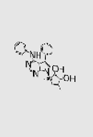 CC1C[C@@](C)(N2C=C(c3ccccc3)C3C(Nc4ccccc4)=NC=NC32)C(O)C1O